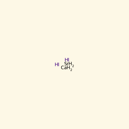 I.I.[CaH2].[SrH2]